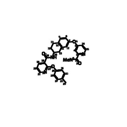 CNC(=O)c1cc(Oc2ccc3c(c2)CC(NC(=O)c2cccnc2Oc2ccc(C)cc2)CC3)ccn1